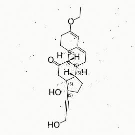 CCOC1=CC2=CC[C@@H]3[C@H](C(=O)C[C@@]4(C)[C@H]3CC[C@@]4(O)C#CCO)[C@H]2CC1